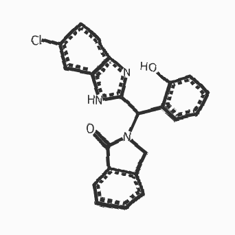 O=C1c2ccccc2CN1C(c1nc2ccc(Cl)cc2[nH]1)c1ccccc1O